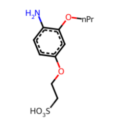 CCCOc1cc(OCCS(=O)(=O)O)ccc1N